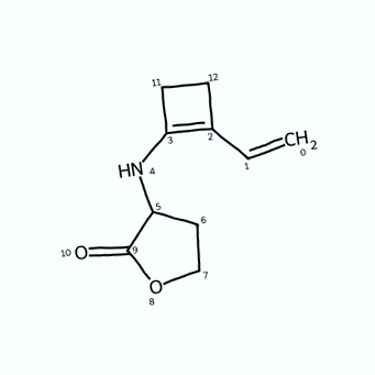 C=CC1=C(NC2CCOC2=O)CC1